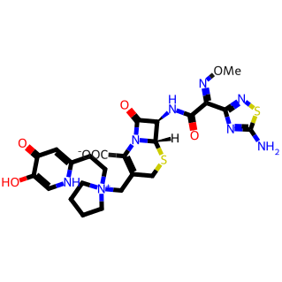 CON=C(C(=O)N[C@@H]1C(=O)N2C(C(=O)[O-])=C(C[N+]3(CCc4cc(=O)c(O)c[nH]4)CCCC3)CS[C@@H]12)c1nsc(N)n1